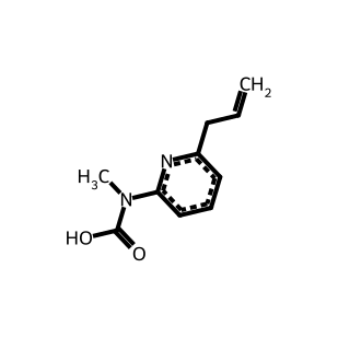 C=CCc1cccc(N(C)C(=O)O)n1